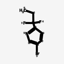 CCC(F)(F)c1ccc(Br)cn1